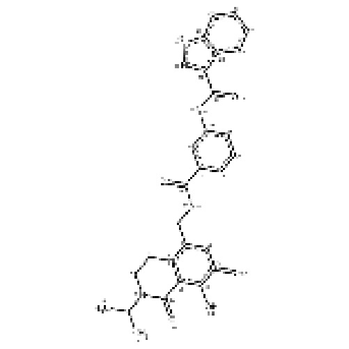 CC(C)N1CCn2c(CNC(=O)c3cccc(NC(=O)c4n[nH]c5ccccc45)c3)cc(=O)c(O)c2C1=O